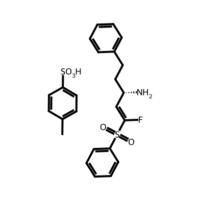 Cc1ccc(S(=O)(=O)O)cc1.N[C@H](/C=C(\F)S(=O)(=O)c1ccccc1)CCc1ccccc1